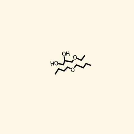 CCCCOCCCC.CCOCC(O)CO